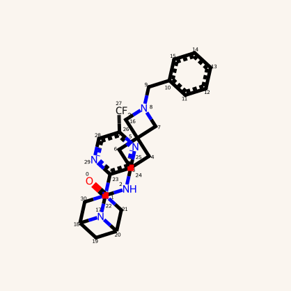 O=C(NC1CC2(C1)CN(Cc1ccccc1)C2)N1C2CC1CN(c1cnc(C(F)(F)F)cn1)C2